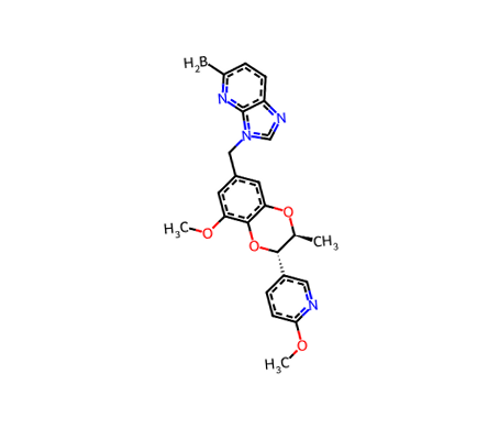 Bc1ccc2ncn(Cc3cc(OC)c4c(c3)O[C@@H](C)[C@H](c3ccc(OC)nc3)O4)c2n1